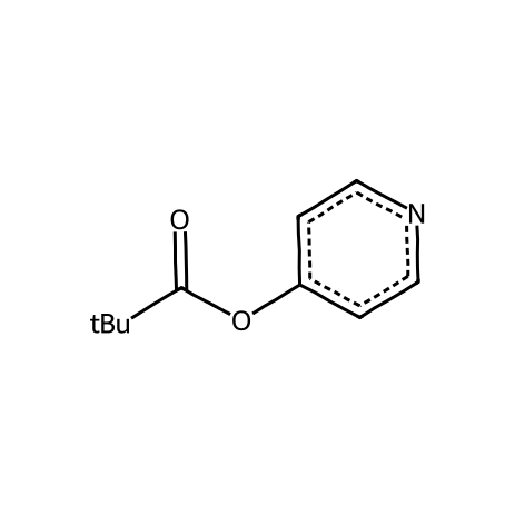 CC(C)(C)C(=O)Oc1ccncc1